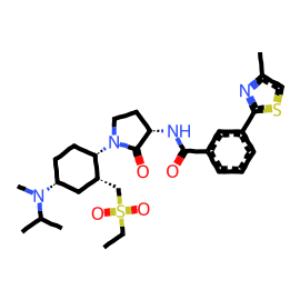 CCS(=O)(=O)C[C@@H]1C[C@H](N(C)C(C)C)CC[C@@H]1N1CC[C@H](NC(=O)c2cccc(-c3nc(C)cs3)c2)C1=O